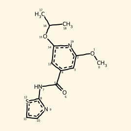 COc1cc(C(=O)Nc2nccs2)cc(OC(C)C)n1